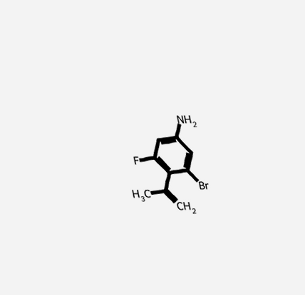 C=C(C)c1c(F)cc(N)cc1Br